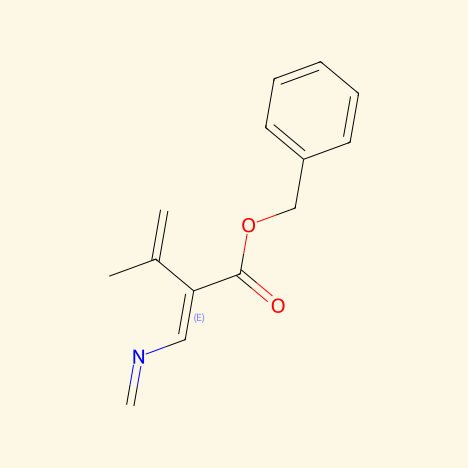 C=N/C=C(\C(=C)C)C(=O)OCc1ccccc1